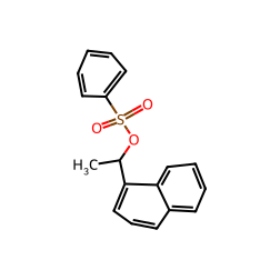 CC(OS(=O)(=O)c1ccccc1)c1cccc2ccccc12